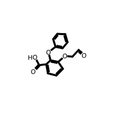 O=CCOc1cccc(C(=O)O)c1Oc1ccccc1